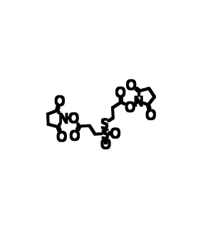 O=C(CCSS(=O)(=O)CCC(=O)ON1C(=O)CCC1=O)ON1C(=O)CCC1=O